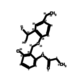 CCC(=O)Oc1cccc(Cl)c1COc1ccc(CC)cc1C(F)F